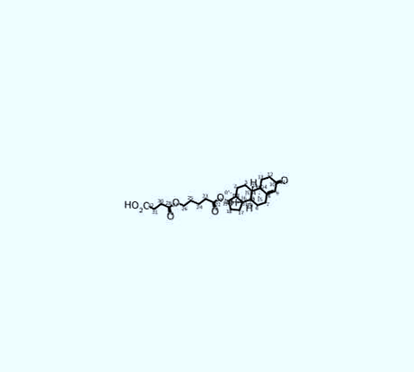 C[C@]12CC[C@H]3[C@@H](CCC4=CC(=O)CC[C@@]43C)[C@@H]1CC[C@@H]2OC(=O)CCCCOC(=O)CCC(=O)O